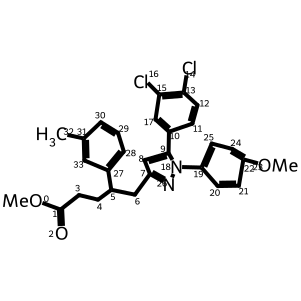 COC(=O)CCC(Cc1cc(-c2ccc(Cl)c(Cl)c2)n(-c2ccc(OC)cc2)n1)c1cccc(C)c1